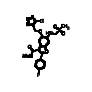 CNC(=O)c1c(-c2ccc(F)cc2)oc2cc(NCS(C)(=O)=O)c(OCc3nnsc3Cl)cc12